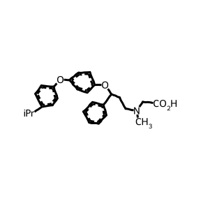 CC(C)c1ccc(Oc2ccc(OC(CCN(C)CC(=O)O)c3ccccc3)cc2)cc1